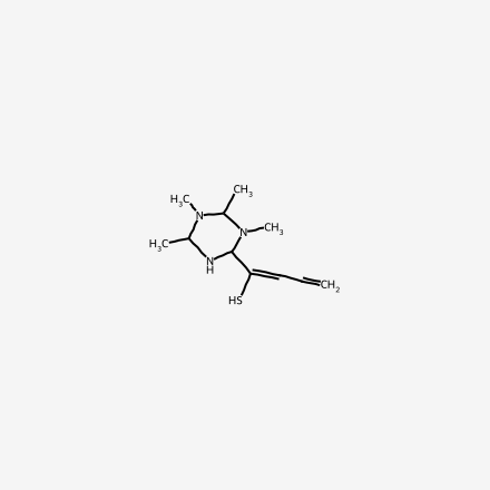 C=C/C=C(\S)C1NC(C)N(C)C(C)N1C